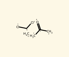 C.CC(C)=O.ClCCl